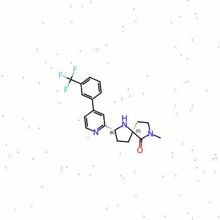 CN1CC[C@@]2(CC[C@H](c3cc(-c4cccc(C(F)(F)F)c4)ccn3)N2)C1=O